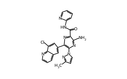 Cc1ccn(-c2nc(N)c(C(=O)Nc3ccccn3)nc2-c2cc(Cl)c3ncccc3c2)n1